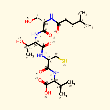 CC(C)CCC(=O)N[C@@H](CO)C(=O)N[C@H](C(=O)N[C@@H](CS)C(=O)N[C@H](C(=O)O)C(C)C)[C@@H](C)O